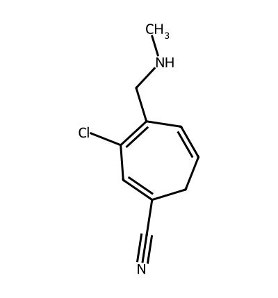 CNCC1=C(Cl)C=C(C#N)CC=C1